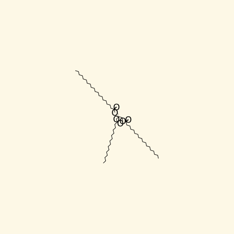 CCCCCCCCCCCCCCCCCCCC(=O)OC[C@H](COC(=O)CCCCCCCCCCCCCCCCC)OC(=O)CCCCCCCCCCCCCCC